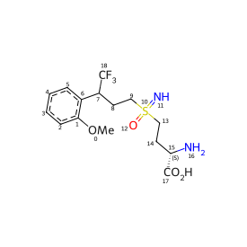 COc1ccccc1C(CCS(=N)(=O)CC[C@H](N)C(=O)O)C(F)(F)F